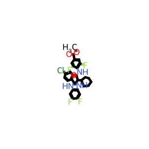 COC(=O)c1cc(F)c(NC(=O)C(C2CCCCC2)C2(c3ccc(Cl)cc3)Nc3cc(F)c(F)cc3N2)c(F)c1